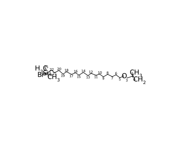 C=C(C)COCCCCCCCCCCCCCCCCCC[Si](C)(C)Br